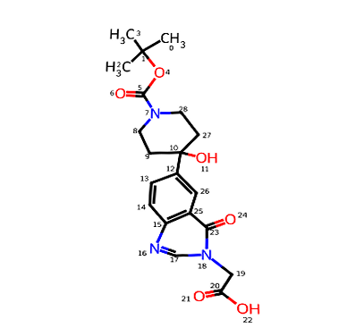 CC(C)(C)OC(=O)N1CCC(O)(c2ccc3ncn(CC(=O)O)c(=O)c3c2)CC1